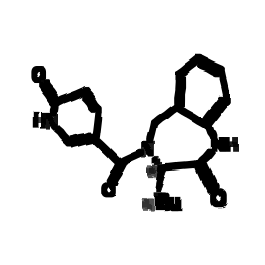 CC[C@H](C)[C@H]1C(=O)Nc2ccccc2CN1C(=O)c1ccc(=O)[nH]c1